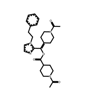 CC(=O)N1CCC(=C(OC(=O)C2CCN(C(C)=O)CC2)c2nccn2CCc2ccccc2)CC1